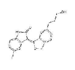 O=C1Nc2ccc(F)cc2/C1=C1\OCc2ccc(CCCO)cc21